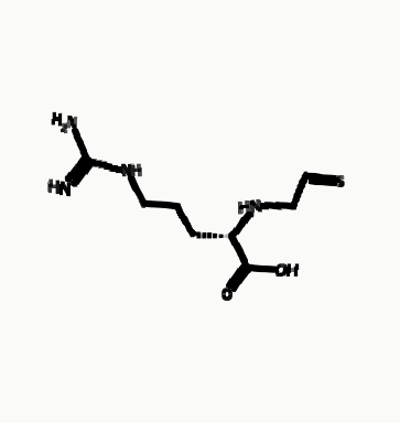 N=C(N)NCCC[C@H](NCC=S)C(=O)O